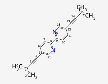 CC(C)C#Cc1ccc(-c2ccc(C#CC(C)C)cn2)nc1